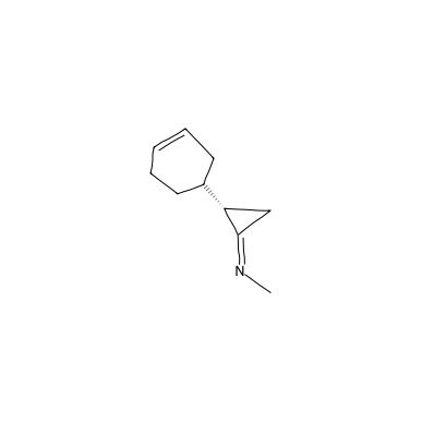 C/N=C1\C[C@H]1C1CC=CCC1